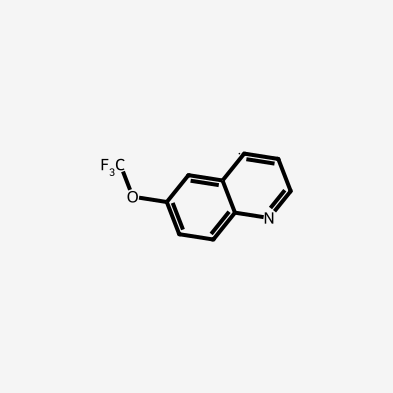 FC(F)(F)Oc1ccc2ncc[c]c2c1